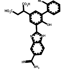 N#Cc1ccccc1-c1cc(C(CC(=O)O)C(=O)O)cc(-c2nc3cc(C(=N)N)ccc3[nH]2)c1O